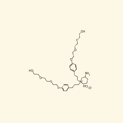 Cl.NC1CCC[N+](CCCc2ccc(OCCOCCOCCO)cc2)(CCCc2ccc(OCCOCCOCCO)cc2)C1.[Cl-]